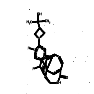 CC(C)(O)C1CN(c2cc3c(cc2F)/C=C2/C4CC5(C=C(/C=C\C=C(/C5)OC2F)C(=O)N4)C3)C1